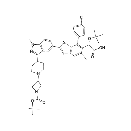 Cc1cc2nc(-c3ccc4c(c3)c(C3CCN(C5CN(C(=O)OC(C)(C)C)C5)CC3)nn4C)sc2c(-c2ccc(Cl)cc2)c1[C@H](OC(C)(C)C)C(=O)O